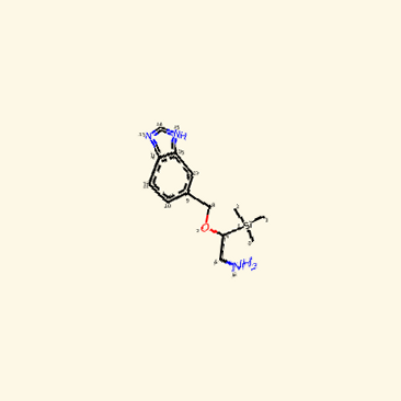 C[Si](C)(C)C(CN)OCc1ccc2nc[nH]c2c1